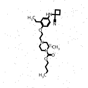 CCCCOC(=O)N1CCN(CCOc2ccc(NC3(C#N)CCC3)cc2CC)C[C@@H]1C